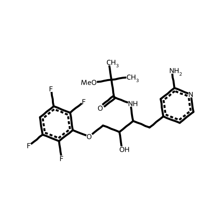 COC(C)(C)C(=O)NC(Cc1ccnc(N)c1)C(O)COc1c(F)c(F)cc(F)c1F